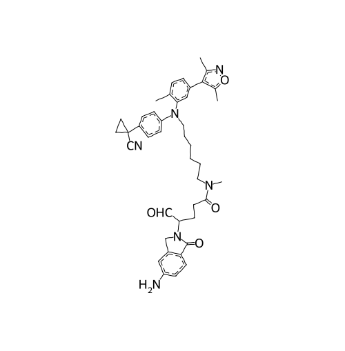 Cc1ccc(-c2c(C)noc2C)cc1N(CCCCCCN(C)C(=O)CCC(C=O)N1Cc2cc(N)ccc2C1=O)c1ccc(C2(C#N)CC2)cc1